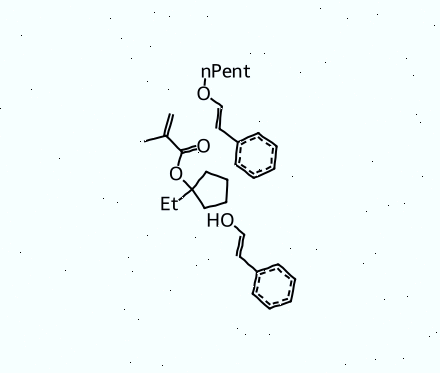 C=C(C)C(=O)OC1(CC)CCCC1.CCCCCOC=Cc1ccccc1.OC=Cc1ccccc1